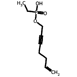 C=CCCC#CCOP(=O)(O)CC